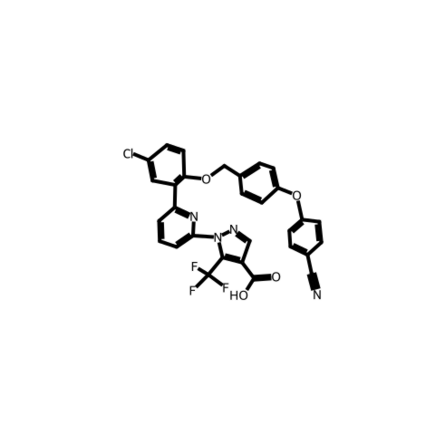 N#Cc1ccc(Oc2ccc(COc3ccc(Cl)cc3-c3cccc(-n4ncc(C(=O)O)c4C(F)(F)F)n3)cc2)cc1